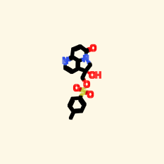 Cc1ccc(S(=O)(=O)OC[C@]2(O)Cn3c(=O)ccc4nccc2c43)cc1